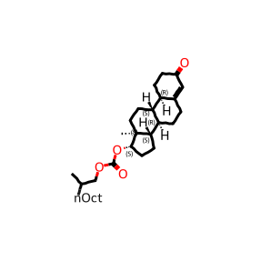 CCCCCCCCC(C)COC(=O)O[C@H]1CC[C@H]2[C@@H]3CCC4=CC(=O)CC[C@@H]4[C@H]3CC[C@]12C